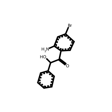 Nc1cc(Br)ccc1C(=O)C(O)c1ccccc1